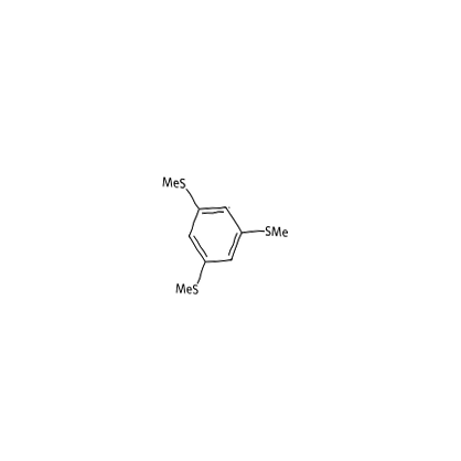 CSc1[c]c(SC)cc(SC)c1